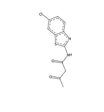 CC(=O)CC(=O)Nc1nc2ccc(Cl)cc2s1